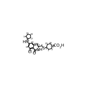 O=C(O)N1CCC(SCc2nc3cc(NC4CCCC4)cc(Cl)c3c(=O)[nH]2)CC1